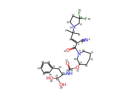 CC(C)(C=C(C#N)C(=O)N1CCCC[C@@H](OC(=O)NC(Cc2ccccc2)B(O)O)C1)N1CCC(F)(F)C1